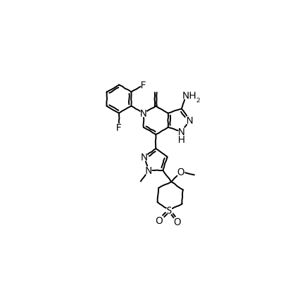 C=C1c2c(N)n[nH]c2C(c2cc(C3(OC)CCS(=O)(=O)CC3)n(C)n2)=CN1c1c(F)cccc1F